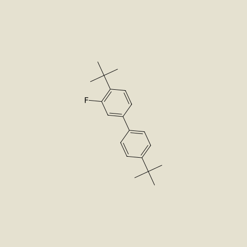 CC(C)(C)c1ccc(-c2ccc(C(C)(C)C)c(F)c2)cc1